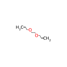 C=CCOCCOCC=C